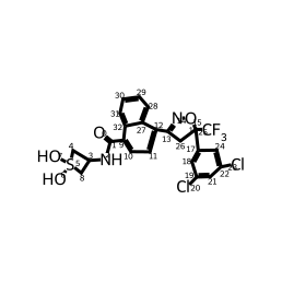 O=C(NC1CS(O)(O)C1)c1ccc(C2=NOC(c3cc(Cl)cc(Cl)c3)(C(F)(F)F)C2)c2ccccc12